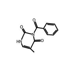 Cc1c[nH]c(=O)n(C(=O)c2ccccc2)c1=O